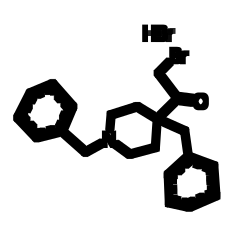 Br.O=C(CBr)C1(Cc2ccccc2)CCN(Cc2ccccc2)CC1